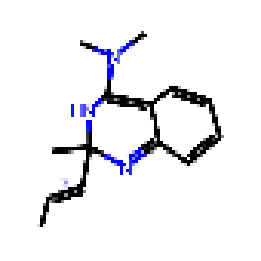 C/C=C/C1(C)N=c2ccccc2=C(N(C)C)N1